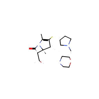 C[C@@H](O)[C@H]1C(=O)N2C(C(=O)O)=C(S[C@@H]3CCN(C[C@H]4CNCCO4)C3)[C@H](C)[C@H]12